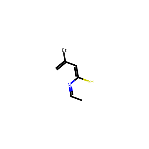 C=C(/C=C(S)\N=C/C)CC